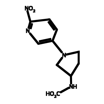 O=C(O)NC1CCN(c2ccc([N+](=O)[O-])nc2)C1